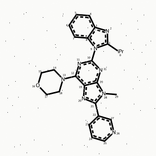 CC(C)c1nc2ccccc2n1-c1nc(N2CCOCC2)c2nc(-c3cccnc3)n(C)c2n1